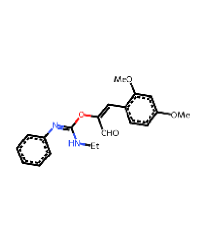 CCN/C(=N\c1ccccc1)O/C(C=O)=C/c1ccc(OC)cc1OC